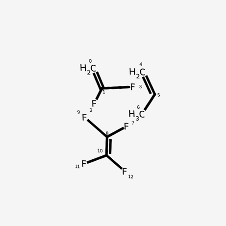 C=C(F)F.C=CC.FC(F)=C(F)F